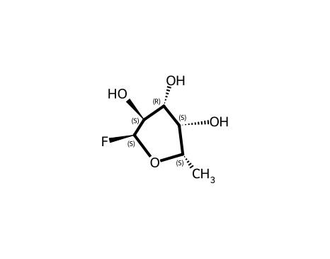 C[C@@H]1O[C@@H](F)[C@@H](O)[C@H](O)[C@@H]1O